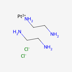 NCCN.NCCN.[Cl-].[Cl-].[Pt+2]